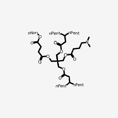 CCCCCCCCCOC(=O)CCC(=O)OCC(COC(=O)CCCN(C)C)(COC(=O)CC(CCCCC)CCCCC)COC(=O)CC(CCCCC)CCCCC